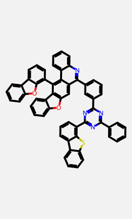 c1ccc(-c2nc(-c3cccc(-c4nc5ccccc5c5c(-c6cccc7c6oc6ccccc67)c6c(cc45)oc4ccccc46)c3)nc(-c3cccc4c3sc3ccccc34)n2)cc1